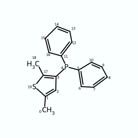 Cc1cc(P(c2ccccc2)c2ccccc2)c(C)s1